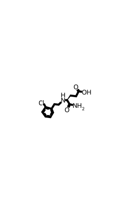 NC(=O)[C@H](CCC(=O)O)NCCc1ccccc1Cl